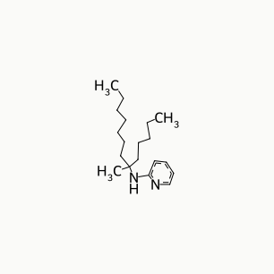 CCCCCCCC(C)(CCCCC)Nc1ccccn1